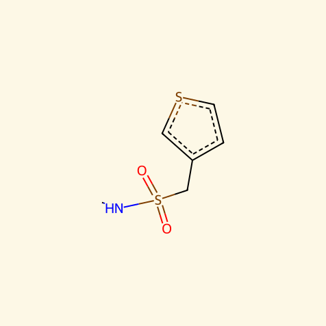 CNS(=O)(=O)Cc1ccsc1